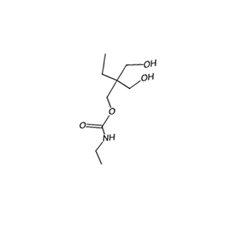 CCNC(=O)OCC(CC)(CO)CO